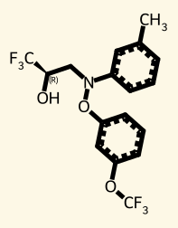 Cc1cccc(N(C[C@@H](O)C(F)(F)F)Oc2cccc(OC(F)(F)F)c2)c1